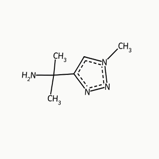 Cn1cc(C(C)(C)N)nn1